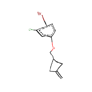 C=C1CC(COc2ccc(Br)c(Cl)c2)C1